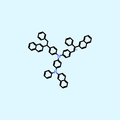 C(=C(/c1ccccc1)c1ccc2ccccc2c1)/c1ccc(N(c2ccc(C(Cc3ccccc3)c3ccc4ccccc4c3)cc2)c2ccc(N(c3ccccc3)c3ccc4ccccc4c3)cc2)cc1